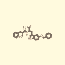 O=C(O)C(Cc1c[nH]c2ccc(OCc3ccccc3)cc12)NC(=O)[C@@H](CS)Cc1ccccc1